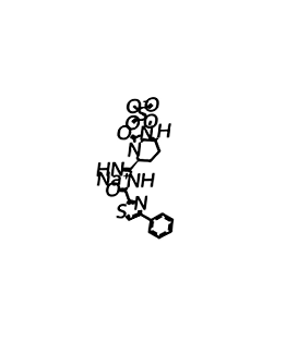 N=C(NC(=O)c1nc(-c2ccccc2)cs1)[C@@H]1CC[C@@H]2CN1C(=O)N2OS(=O)(=O)[O-].[Na+]